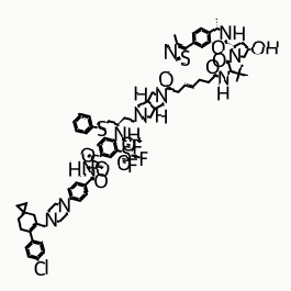 Cc1ncsc1-c1ccc([C@H](C)NC(=O)[C@@H]2C[C@@H](O)CN2C(=O)[C@@H](NC(=O)CCCCCC(=O)N2C[C@H]3CN(CC[C@H](CSc4ccccc4)Nc4ccc(S(=O)(=O)NC(=O)c5ccc(N6CCN(CC7=C(c8ccc(Cl)cc8)CCC8(CC8)C7)CC6)cc5)cc4S(=O)(=O)C(F)(F)F)C[C@@H]3C2)C(C)(C)C)cc1